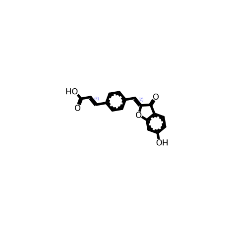 O=C(O)/C=C/c1ccc(/C=C2\Oc3cc(O)ccc3C2=O)cc1